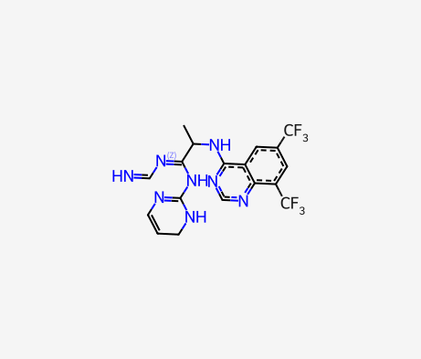 CC(Nc1ncnc2c(C(F)(F)F)cc(C(F)(F)F)cc12)/C(=N/C=N)NC1=NC=CCN1